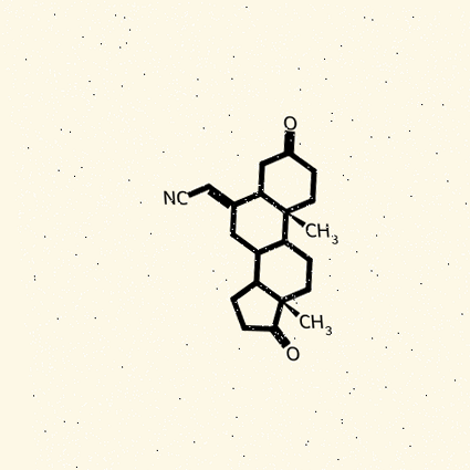 C[C@]12CCC(=O)CC1/C(=C/C#N)CC1C2CC[C@]2(C)C(=O)CCC12